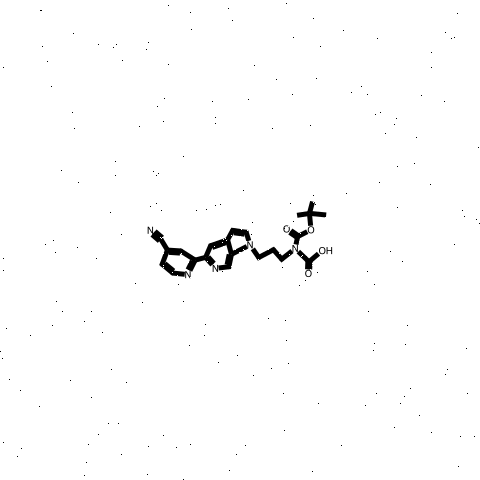 CC(C)(C)OC(=O)N(CCCn1ccc2cc(-c3cc(C#N)ccn3)ncc21)C(=O)O